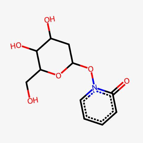 O=c1ccccn1OC1CC(O)C(O)C(CO)O1